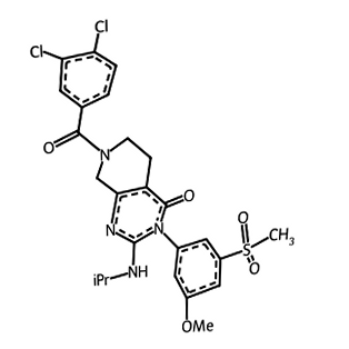 COc1cc(-n2c(NC(C)C)nc3c(c2=O)CCN(C(=O)c2ccc(Cl)c(Cl)c2)C3)cc(S(C)(=O)=O)c1